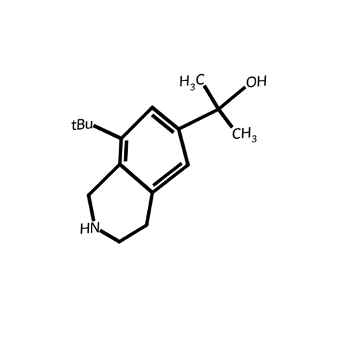 CC(C)(C)c1cc(C(C)(C)O)cc2c1CNCC2